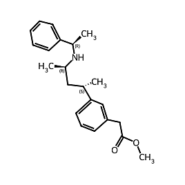 COC(=O)Cc1cccc([C@@H](C)C[C@@H](C)N[C@H](C)c2ccccc2)c1